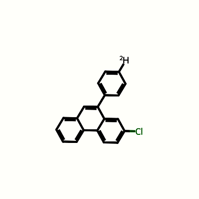 [2H]c1ccc(-c2cc3ccccc3c3ccc(Cl)cc23)cc1